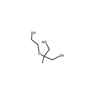 CC(CO)(CO)OCCO